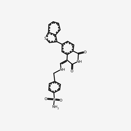 NS(=O)(=O)c1ccc(CNC=C2C(=O)NC(=O)c3ccc(-c4csc5ccccc45)cc32)cc1